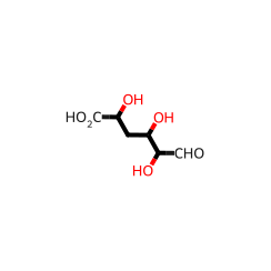 O=CC(O)C(O)CC(O)C(=O)O